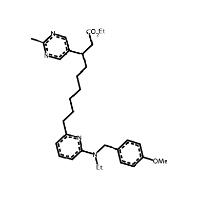 CCOC(=O)CC(CCCCCCc1cccc(N(CC)Cc2ccc(OC)cc2)n1)c1cnc(C)nc1